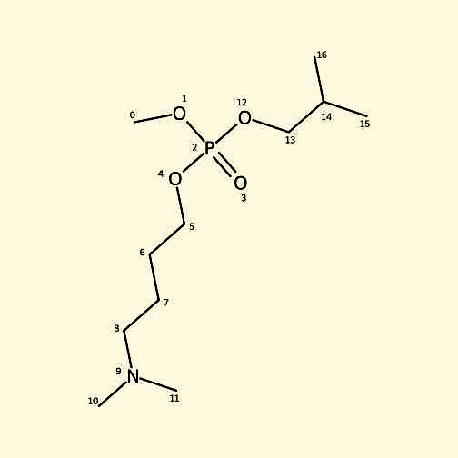 COP(=O)(OCCCCN(C)C)OCC(C)C